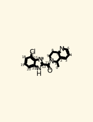 CC1c2cccnc2CCN1C(=O)c1nc2c(Cl)cccc2[nH]1